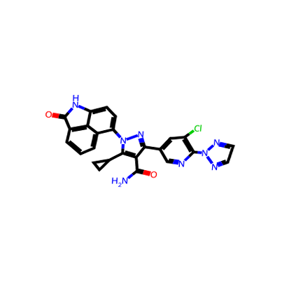 NC(=O)c1c(-c2cnc(-n3nccn3)c(Cl)c2)nn(-c2ccc3c4c(cccc24)C(=O)N3)c1C1CC1